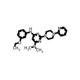 CCOc1cccc(Nc2cc(N(C)C)nc(N3CCN(c4ccccn4)CC3)n2)c1